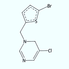 ClC1=CN=CN(Cc2ccc(Br)s2)C1